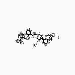 Cc1ccc2c(N3CCN(CCc4cccc5c4OCc4c(C(=O)[O-])ncn4-5)CC3)cccc2n1.[K+]